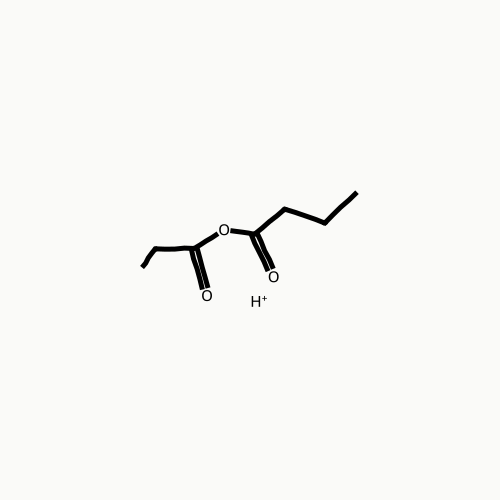 CCCC(=O)OC(=O)CC.[H+]